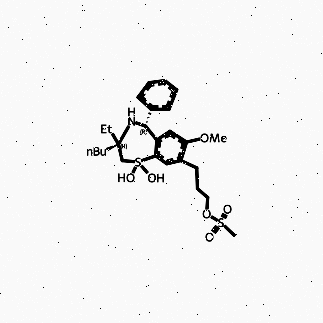 CCCC[C@]1(CC)CS(O)(O)c2cc(CCCOS(C)(=O)=O)c(OC)cc2[C@@H](c2ccccc2)N1